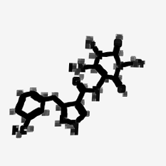 CCCn1c(=O)c(NC(=O)c2c[nH]nc2Cc2cccc(C(F)(F)F)c2)c(N)n(CC)c1=O